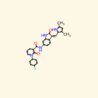 Cc1cc(C)c(/C=C2\C(=O)Nc3cc(NC(=O)c4cccn(-c5ccc(F)cc5)c4=O)ccc32)[nH]1